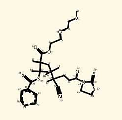 COCCOCCOC(=O)C(C)(CC(C)(C)C(C)(C#N)CCC(=O)N1CCSC1=S)C(C)(C)SC(=S)c1ccccc1